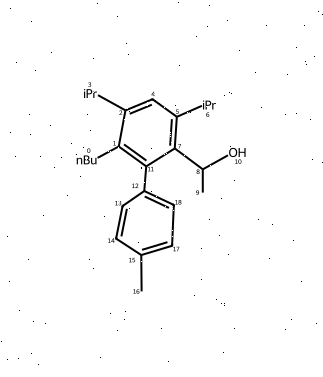 CCCCc1c(C(C)C)cc(C(C)C)c(C(C)O)c1-c1ccc(C)cc1